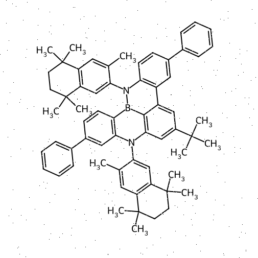 Cc1cc2c(cc1N1B3c4ccc(-c5ccccc5)cc4N(c4cc5c(cc4C)C(C)(C)CCC5(C)C)c4cc(C(C)(C)C)cc(c43)-c3cc(-c4ccccc4)ccc31)C(C)(C)CCC2(C)C